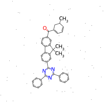 CC1C=CC=C(C(=O)c2ccc3c(c2)C(C)(C)c2cc(-c4nc(-c5ccccc5)nc(-c5ccccc5)n4)ccc2-3)C1